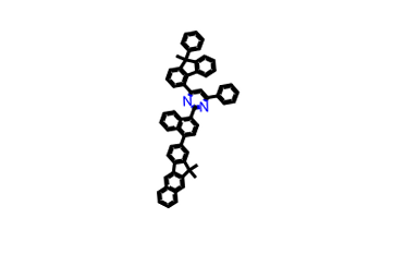 CC1(C)c2cc(-c3ccc(-c4nc(-c5ccccc5)cc(-c5cccc6c5-c5ccccc5C6(C)c5ccccc5)n4)c4ccccc34)ccc2-c2cc3ccccc3cc21